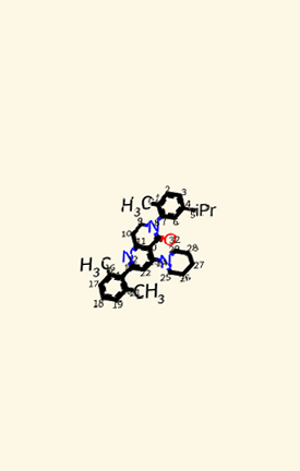 Cc1ccc(C(C)C)cc1N1CCc2nc(-c3c(C)cccc3C)cc(N3CCCCC3)c2C1=O